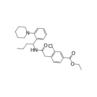 CCCC(NC(=O)Cc1ccc(C(=O)OCC)cc1Cl)c1ccccc1N1CCCCC1